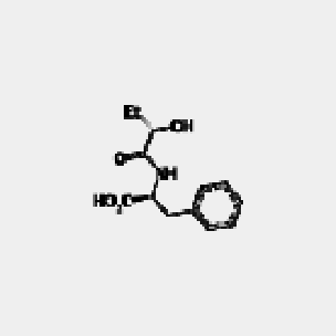 CC[C@H](O)C(=O)N[C@@H](Cc1ccccc1)C(=O)O